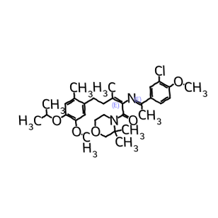 COc1ccc(/C(C)=N/C(C(=O)N2CCOCC2(C)C)=C(\C)CCc2cc(OC)c(OC(C)C)cc2C)cc1Cl